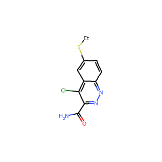 CCSc1ccc2nnc(C(N)=O)c(Cl)c2c1